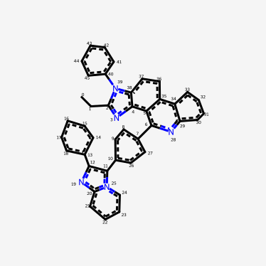 CCc1nc2c3c(-c4ccc(-c5c(-c6ccccc6)nc6ccccn56)cc4)nc4ccccc4c3ccc2n1-c1ccccc1